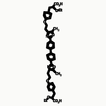 CCOC(Cc1ccc(OCCc2nc(-c3ccc(-c4ccc(-c5nc(CCOc6ccc(CC(OCC)C(=O)O)cc6)c(C)o5)cc4)cc3)oc2C)cc1)C(=O)O